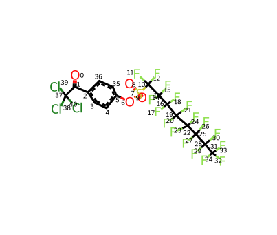 O=C(c1ccc(OS(=O)(=O)C(F)(F)C(F)(F)C(F)(F)C(F)(F)C(F)(F)C(F)(F)C(F)(F)C(F)(F)F)cc1)C(Cl)(Cl)Cl